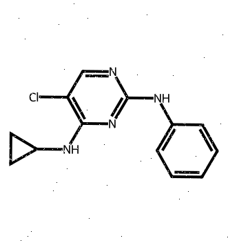 Clc1cnc(Nc2ccccc2)nc1NC1CC1